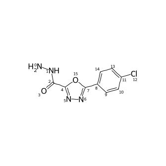 NNC(=O)c1nnc(-c2ccc(Cl)cc2)o1